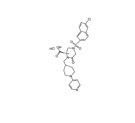 Cl.O=C(O)[C@H]1CN(S(=O)(=O)c2ccc3cc(Cl)ccc3c2)CC(=O)N1CC1CCN(c2ccncc2)CC1